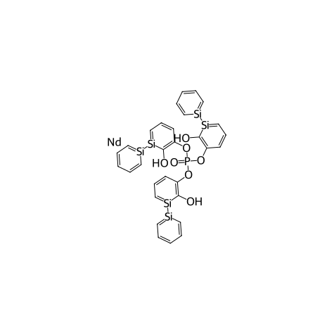 O=P(Oc1ccc[si](-[si]2ccccc2)c1O)(Oc1ccc[si](-[si]2ccccc2)c1O)Oc1ccc[si](-[si]2ccccc2)c1O.[Nd]